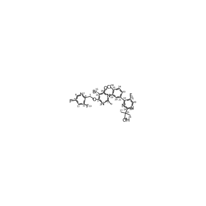 Cc1nc(OCc2ncc(F)cc2F)c(Br)c(=O)n1-c1cc(-c2nc(C(C)(C)O)ncc2F)ccc1Cl